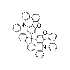 C1=CC2=C(CC1)c1ccccc1C21c2cc(N(c3ccccc3)c3ccccc3)c3c(oc4ccccc43)c2-c2c1cc(N(c1ccccc1)c1ccccc1)c1c2oc2ccccc21